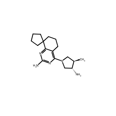 C[C@@H]1CN(c2nc(N)nc3c2CCCC32CCCC2)C[C@H]1N